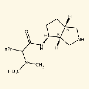 CCCC(C(=O)N[C@H]1CC[C@@H]2CNC[C@@H]21)N(C)C(=O)O